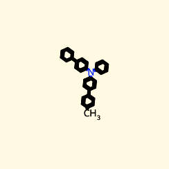 Cc1ccc(-c2ccc(N(c3ccccc3)c3ccc(C4C=CC=CC4)cc3)cc2)cc1